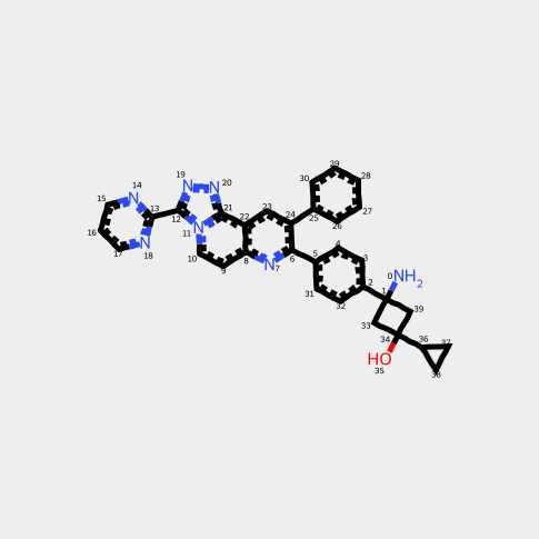 NC1(c2ccc(-c3nc4ccn5c(-c6ncccn6)nnc5c4cc3-c3ccccc3)cc2)CC(O)(C2CC2)C1